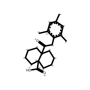 Cc1cc(C)c(CC(=O)C23CCCCC2(C(=O)O)CCCC3)c(C)c1